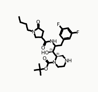 CCCCN1CC(C(=O)NC(Cc2cc(F)cc(F)c2)[C@H](O)[C@H]2CNCCN2C(=O)OC(C)(C)C)CC1=O